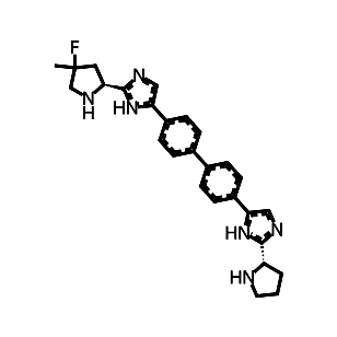 CC1(F)CN[C@H](c2ncc(-c3ccc(-c4ccc(-c5cnc([C@@H]6CCCN6)[nH]5)cc4)cc3)[nH]2)C1